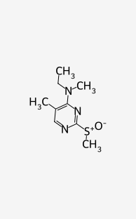 CCN(C)c1nc([S+](C)[O-])ncc1C